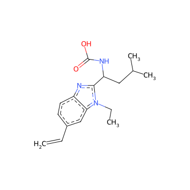 C=Cc1ccc2nc(C(CC(C)C)NC(=O)O)n(CC)c2c1